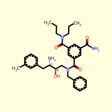 CCCN(CCC)C(=O)c1cc(C(N)=O)cc(C(=O)N(Cc2ccccc2)C[C@@H](O)[C@@H](N)Cc2cccc(C)c2)c1